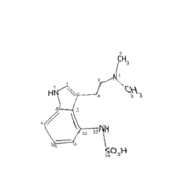 CN(C)CCc1c[nH]c2cccc(NS(=O)(=O)O)c12